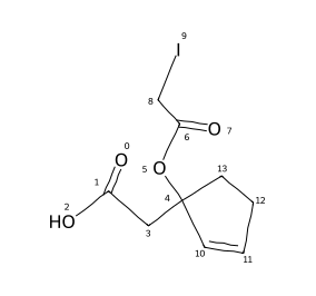 O=C(O)CC1(OC(=O)CI)C=CCC1